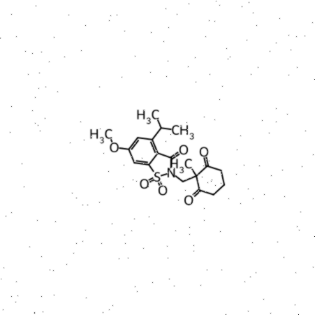 COc1cc(C(C)C)c2c(c1)S(=O)(=O)N(CC1(C)C(=O)CCCC1=O)C2=O